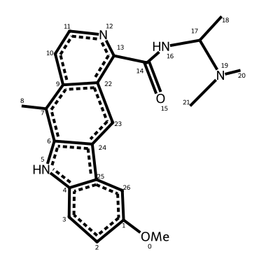 COc1ccc2[nH]c3c(C)c4ccnc(C(=O)NC(C)N(C)C)c4cc3c2c1